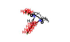 CCCCN1\C(=C/C=C/C=C/C2N(CCCC)c3ccccc3C2(C)C)C(C)(C)c2ccccc21.O=P(O)(O)F.O=P(O)(O)F.O=P(O)(O)F.O=P(O)(O)F.O=P(O)(O)F.O=P(O)(O)F